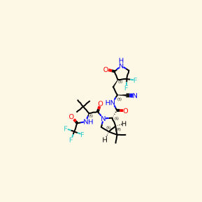 CC(C)(C)[C@H](NC(=O)C(F)(F)F)C(=O)N1C[C@H]2[C@@H]([C@H]1C(=O)N[C@H](C#N)C[C@H]1C(=O)NCC1(F)F)C2(C)C